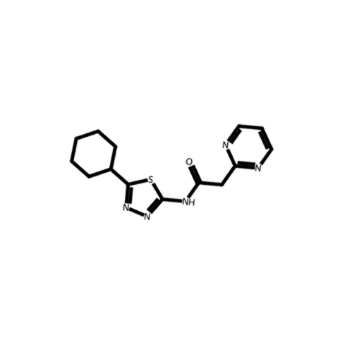 O=C(Cc1ncccn1)Nc1nnc(C2CCCCC2)s1